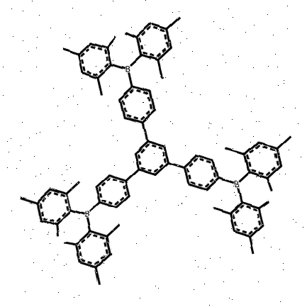 Cc1cc(C)c(B(c2ccc(-c3cc(-c4ccc(B(c5c(C)cc(C)cc5C)c5c(C)cc(C)cc5C)cc4)cc(-c4ccc(B(c5c(C)cc(C)cc5C)c5c(C)cc(C)cc5C)cc4)c3)cc2)c2c(C)cc(C)cc2C)c(C)c1